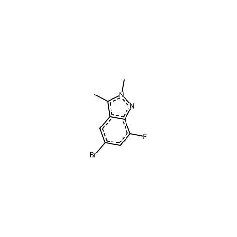 Cc1c2cc(Br)cc(F)c2nn1C